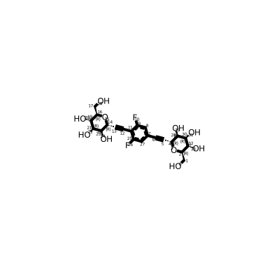 OC[C@H]1O[C@H](C#Cc2cc(F)c(C#C[C@H]3O[C@H](CO)[C@@H](O)[C@H](O)[C@@H]3O)c(F)c2)[C@@H](O)[C@@H](O)[C@@H]1O